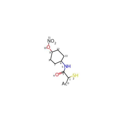 CC(=O)C(S)C(=O)NC1CCC(O[N+](=O)[O-])CC1